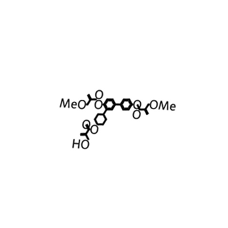 C=C(COC)C(=O)Oc1ccc(-c2ccc(OC(=O)C(=C)COC)c(C3CCC(OC(=O)C(=C)CO)CC3)c2)cc1